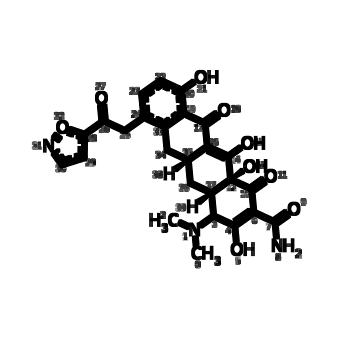 CN(C)C1C(O)=C(C(N)=O)C(=O)[C@@]2(O)C(O)=C3C(=O)c4c(O)ccc(CC(=O)c5ccno5)c4C[C@H]3C[C@@H]12